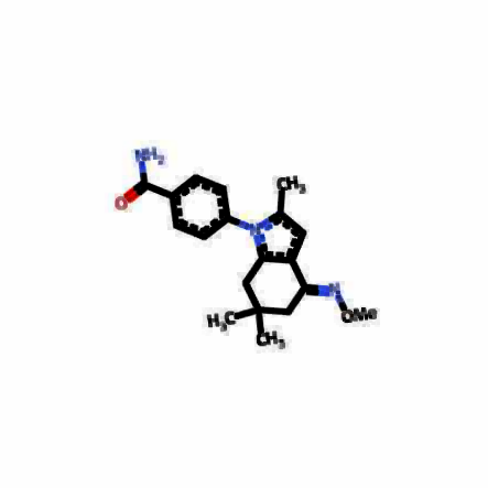 CON=C1CC(C)(C)Cc2c1cc(C)n2-c1ccc(C(N)=O)cc1